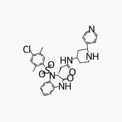 Cc1cc(S(=O)(=O)N2c3ccccc3NC(=O)[C@@H]2CC(=O)NC2CCNC(c3ccncc3)C2)c(C)cc1Cl